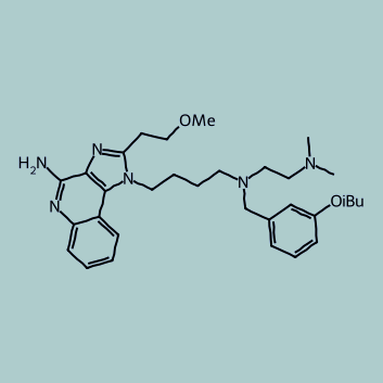 COCCc1nc2c(N)nc3ccccc3c2n1CCCCN(CCN(C)C)Cc1cccc(OCC(C)C)c1